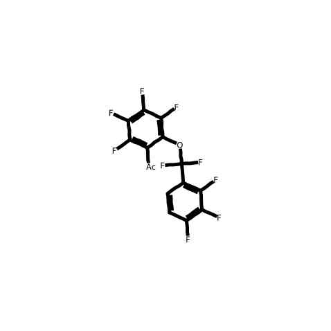 CC(=O)c1c(F)c(F)c(F)c(F)c1OC(F)(F)c1ccc(F)c(F)c1F